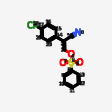 N#CC(=COS(=O)(=O)c1ccccc1)c1ccc(Cl)cc1